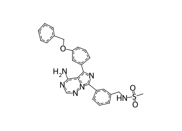 CS(=O)(=O)NCc1cccc(-c2nc(-c3cccc(OCc4ccccc4)c3)c3c(N)ncnn23)c1